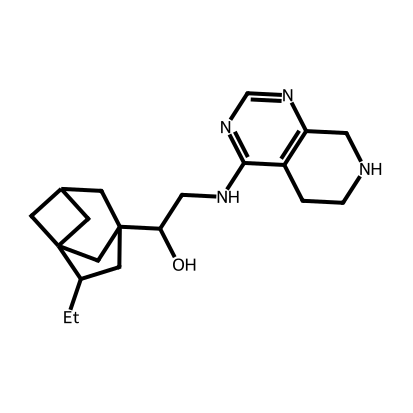 CCC1CC2(C(O)CNc3ncnc4c3CCNC4)CC3CC1(C3)C2